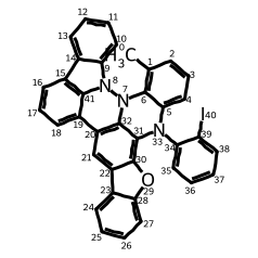 Cc1cccc2c1n1n3c4ccccc4c4cccc(c5cc6c7ccccc7oc6c(c5-1)n2-c1ccccc1I)c43